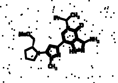 COC[C@H]1CCCN1c1cc(-c2cn(C(C)C(C)C)c(=O)c3c(N)n[nH]c23)nn1C